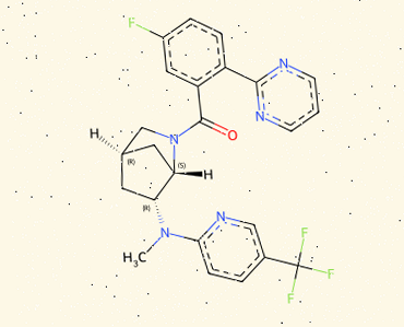 CN(c1ccc(C(F)(F)F)cn1)[C@@H]1C[C@@H]2C[C@@H]1N(C(=O)c1cc(F)ccc1-c1ncccn1)C2